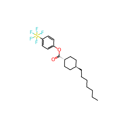 CCCCCCC[C@H]1CC[C@H](C(=O)Oc2ccc(S(F)(F)(F)(F)F)cc2)CC1